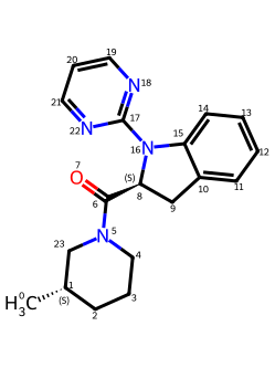 C[C@H]1CCCN(C(=O)[C@@H]2Cc3ccccc3N2c2ncccn2)C1